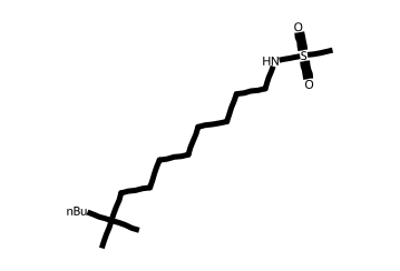 CCCCC(C)(C)CCCCCCCCNS(C)(=O)=O